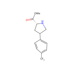 COC(=O)[C@H]1CC(c2ccc(C(F)(F)F)cc2)CN1